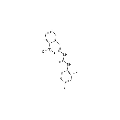 Cc1ccc(NC(=S)NN=Cc2ccccc2[N+](=O)[O-])c(C)c1